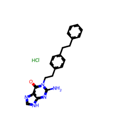 Cl.Nc1nc2[nH]cnc2c(=O)n1CCc1ccc(CCc2ccccc2)cc1